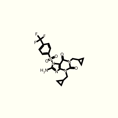 Nc1nc2c(c(=O)n(CC3CC3)c(=O)n2CC2CC2)n1S(=O)(=O)c1ccc(C(F)(F)F)cc1